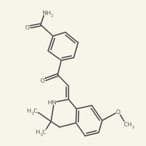 COc1ccc2c(c1)C(=CC(=O)c1cccc(C(N)=O)c1)NC(C)(C)C2